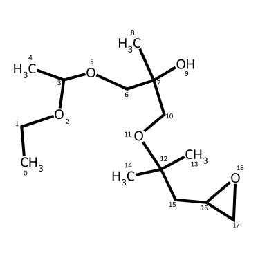 CCOC(C)OCC(C)(O)COC(C)(C)CC1CO1